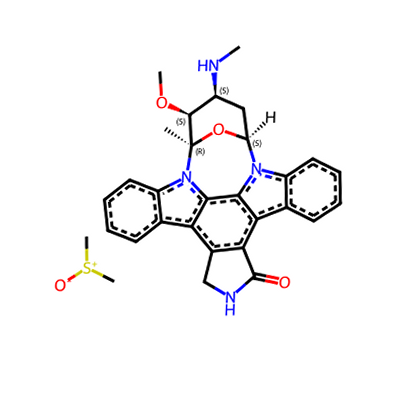 CN[C@H]1C[C@@H]2O[C@](C)([C@H]1OC)n1c3ccccc3c3c4c(c5c6ccccc6n2c5c31)C(=O)NC4.C[S+](C)[O-]